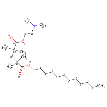 CCCCCCCCCCCCOC(=O)C(C)(C)CC(C)(C)C(=O)OCCN(C)C